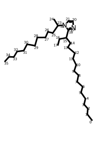 CCCCCCCCCCCCCCCC(CC)c1nccn1C(C)CCCCCCCCCCC